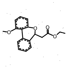 CCOC(=O)CC1Oc2cccc(OC)c2-c2ccccc21